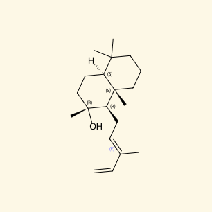 C=C/C(C)=C/C[C@@H]1[C@@]2(C)CCCC(C)(C)[C@@H]2CC[C@@]1(C)O